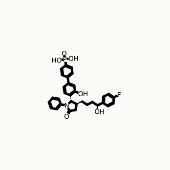 O=C1C[C@H](CCC[C@H](O)c2ccc(F)cc2)[C@@H](c2ccc(-c3ccc(P(=O)(O)O)cc3)cc2O)N1c1ccccc1